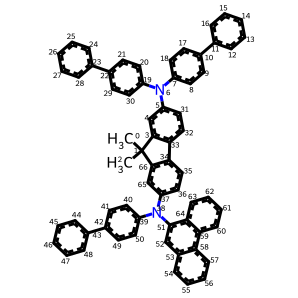 CC1(C)c2cc(N(c3ccc(-c4ccccc4)cc3)c3ccc(-c4ccccc4)cc3)ccc2-c2ccc(N(c3ccc(-c4ccccc4)cc3)c3cc4ccccc4c4ccccc34)cc21